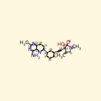 Cc1nc(N)c2nc(-c3cccc(C#C[C@]4(O)C(=O)N(C)C[C@@H]4C)c3)ccc2n1